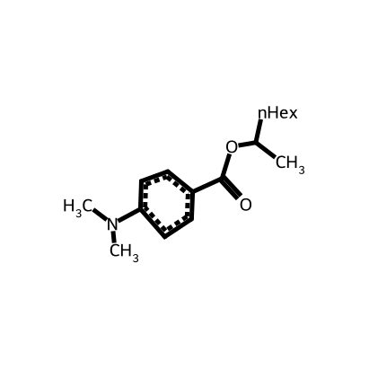 CCCCCCC(C)OC(=O)c1ccc(N(C)C)cc1